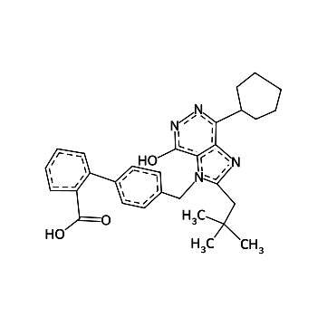 CC(C)(C)Cc1nc2c(C3CCCCC3)nnc(O)c2n1Cc1ccc(-c2ccccc2C(=O)O)cc1